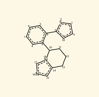 c1csc(-c2ccccc2C2CCCc3cncn32)c1